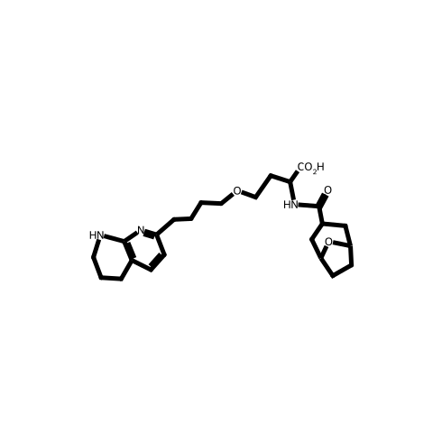 O=C(NC(CCOCCCCc1ccc2c(n1)NCCC2)C(=O)O)C1CC2CCC(C1)O2